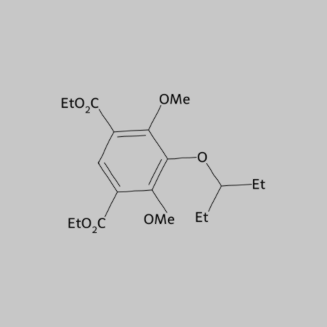 CCOC(=O)c1cc(C(=O)OCC)c(OC)c(OC(CC)CC)c1OC